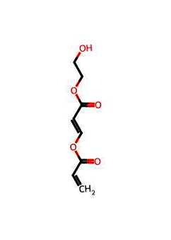 C=CC(=O)OC=CC(=O)OCCO